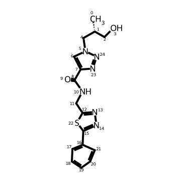 C[C@H](CO)Cn1cc(C(=O)NCc2nnc(-c3ccccc3)s2)nn1